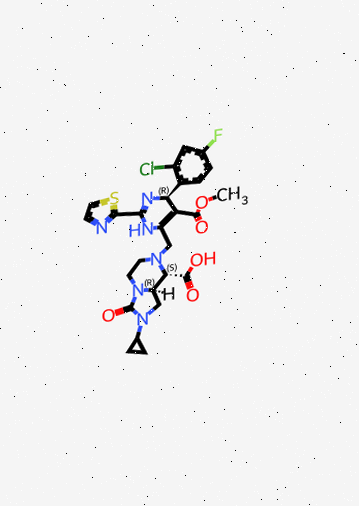 COC(=O)C1=C(CN2CCN3C(=O)N(C4CC4)C[C@@H]3[C@H]2C(=O)O)NC(c2nccs2)=N[C@H]1c1ccc(F)cc1Cl